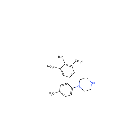 Cc1c(C(=O)O)cccc1C(=O)O.FC(F)(F)c1ccc(N2CCNCC2)cc1